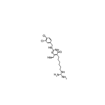 N=Cc1nc(NCc2ccc(Cl)c(Cl)c2)[nH]c(=O)c1CCCCCCNC(N)N